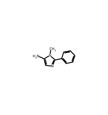 Cn1c(N)cnc1-c1ccccc1